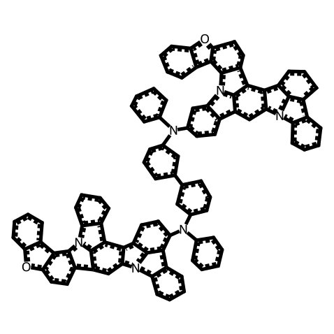 c1ccc(N(c2cccc(-c3cccc(N(c4ccccc4)c4ccc5c6c7c8ccccc8n8c9c(ccc%10oc%11ccccc%11c%109)c(cc6n6c9ccccc9c4c56)c78)c3)c2)c2ccc3c4cc5c(c6cccc7c8ccccc8n5c76)c5c6ccc7oc8ccccc8c7c6n(c3c2)c45)cc1